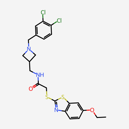 CCOc1ccc2nc(SCC(=O)NCC3CN(Cc4ccc(Cl)c(Cl)c4)C3)sc2c1